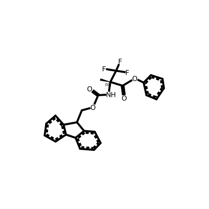 C[C@](NC(=O)OCC1c2ccccc2-c2ccccc21)(C(=O)Oc1ccccc1)C(F)(F)F